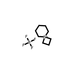 C1CC[N+]2(CC1)CCC2.F[B-](F)(F)F